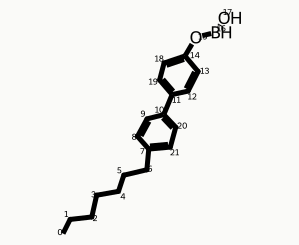 CCCCCCCc1ccc(-c2ccc(OBO)cc2)cc1